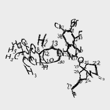 CC(C)(C)[Si](C)(C)O[C@@H]1C[C@H]2C[C@@H]1CN(c1nc(OCC34CCCN3C/C(=C\F)C4)nc3c(F)c(Br)c(Cl)cc13)C2